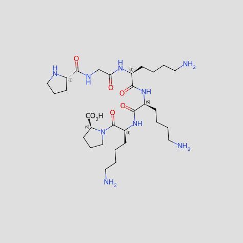 NCCCC[C@H](NC(=O)CNC(=O)[C@@H]1CCCN1)C(=O)N[C@@H](CCCCN)C(=O)N[C@@H](CCCCN)C(=O)N1CCC[C@H]1C(=O)O